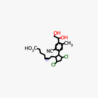 Cc1cc(C2C(Cl)CC(Cl)C2C/C=C\CCCC(=O)O)c(C#N)cc1C(O)CO